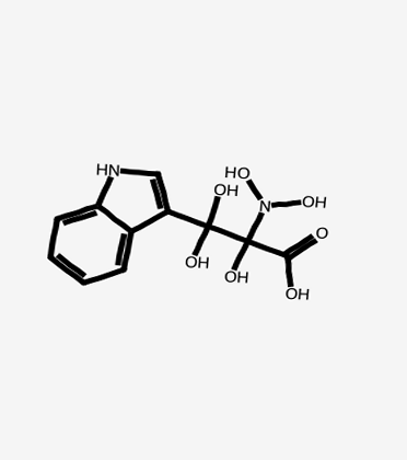 O=C(O)C(O)(N(O)O)C(O)(O)c1c[nH]c2ccccc12